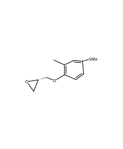 CSc1ccc(OC[C@@H]2CO2)c(C)c1